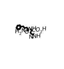 N[C@H](CC(=O)N[C@H](Cc1c[nH]cn1)C(=O)O)Cc1ccccc1